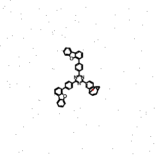 C1=CC2C3C=CC1c1cc(-c4nc(-c5ccc(-c6cccc7c6oc6ccccc67)cc5)nc(-c5ccc(-c6cccc7c6oc6ccccc67)cc5)n4)ccc1C23